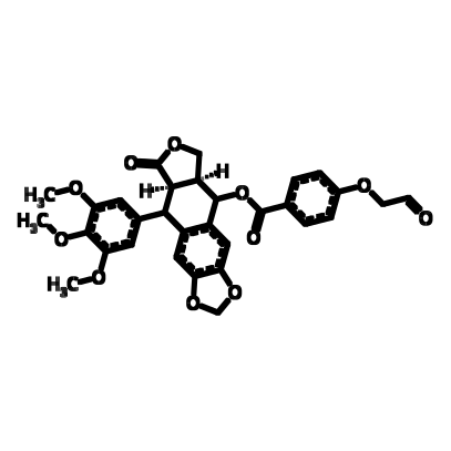 COc1cc(C2c3cc4c(cc3C(OC(=O)c3ccc(OCC=O)cc3)[C@@H]3COC(=O)[C@H]23)OCO4)cc(OC)c1OC